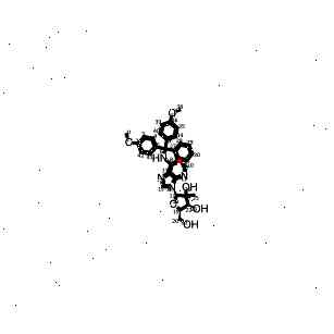 COc1ccc(C(Nc2ncnc3c2ncn3[C@@H]2O[C@H](CO)[C@H](O)C2(C)O)(c2ccccc2)c2ccc(OC)cc2)cc1